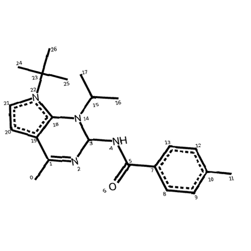 CC1=NC(NC(=O)c2ccc(C)cc2)N(C(C)C)c2c1ccn2C(C)(C)C